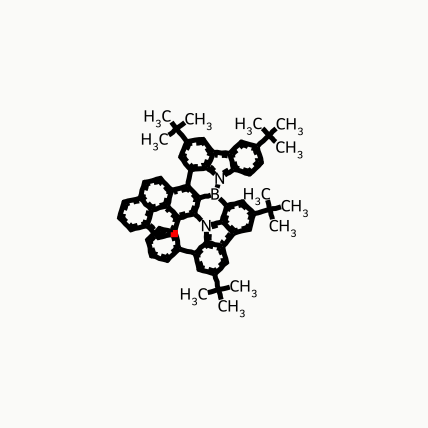 CC(C)(C)c1ccc2c(c1)c1cc(C(C)(C)C)cc3c1n2B1c2c-3c3ccc4cccc5ccc(c2-n2c6c1cc(C(C)(C)C)cc6c1cc(C(C)(C)C)cc(-c6ccccc6)c12)c3c45